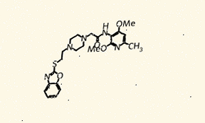 COc1cc(C)nc(OC)c1NC(=O)CN1CCN(CCSc2nc3ccccc3o2)CC1